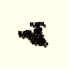 CN(C)CC[C@H]1Oc2cc(-c3cc(OC(=O)C(C)(C)C)cc4ccccc34)c(Cl)cc2N(CC2CN(C(=O)OC(C)(C)C)C2)C1=O